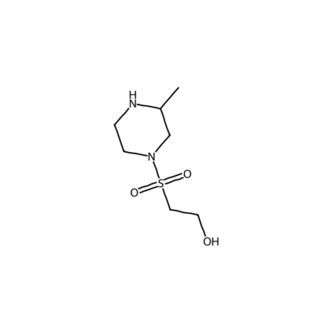 CC1CN(S(=O)(=O)CCO)CCN1